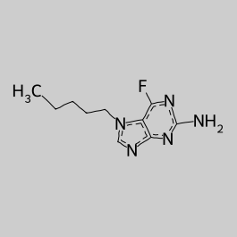 CCCCCn1cnc2nc(N)nc(F)c21